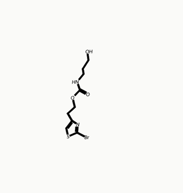 O=C(NCCCO)OCCc1csc(Br)n1